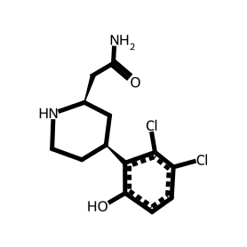 NC(=O)C[C@H]1C[C@@H](c2c(O)ccc(Cl)c2Cl)CCN1